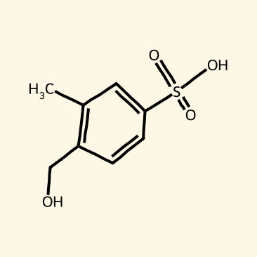 Cc1cc(S(=O)(=O)O)ccc1CO